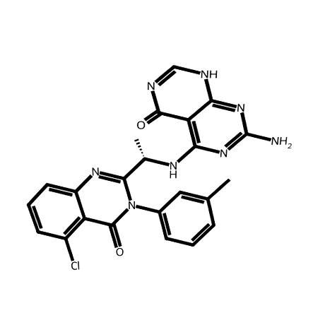 Cc1cccc(-n2c([C@H](C)Nc3nc(N)nc4[nH]cnc(=O)c34)nc3cccc(Cl)c3c2=O)c1